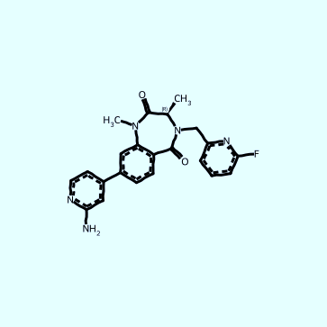 C[C@@H]1C(=O)N(C)c2cc(-c3ccnc(N)c3)ccc2C(=O)N1Cc1cccc(F)n1